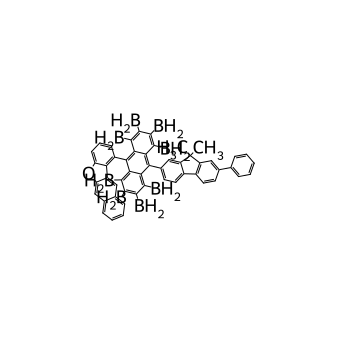 Bc1c(B)c(B)c2c(-c3cccc4oc5cc6ccccc6cc5c34)c3c(B)c(B)c(B)c(B)c3c(-c3ccc4c(c3)C(C)(C)c3cc(-c5ccccc5)ccc3-4)c2c1B